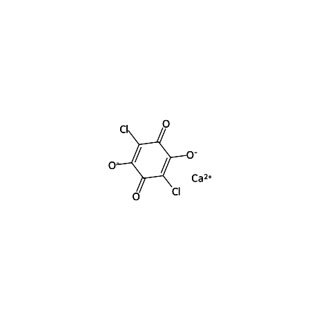 O=C1C([O-])=C(Cl)C(=O)C([O-])=C1Cl.[Ca+2]